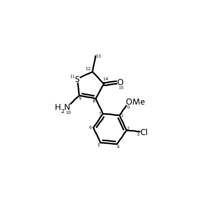 COc1c(Cl)cccc1C1=C(N)SC(C)C1=O